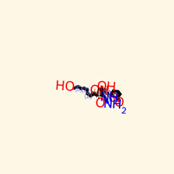 C[C@@](O)(/C=C/[C@H]1CC=CC(=O)O1)[C@@H](C[C@@H](O)\C=C/C=C\C=C\CO)NC(N)=O